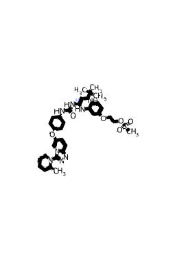 C[C@H]1CCCCN1c1nnc2ccc(O[C@H]3CC[C@H](NC(=O)N/C(=C/C(=N)C(C)(C)C)Nc4cccc(OCCOS(C)(=O)=O)c4)CC3)cn12